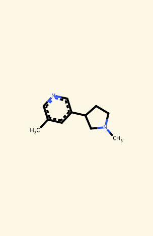 Cc1cncc(C2CCN(C)C2)c1